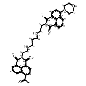 CC(=O)c1ccc2c3c(cccc13)C(=O)N(CCNCCCNCCN1C(=O)c3cccc4c(N5CCOCC5)ccc(c34)C1=O)C2=O